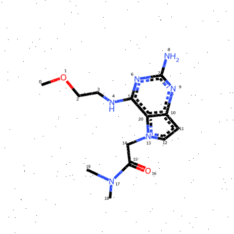 COCCNc1nc(N)nc2ccn(CC(=O)N(C)C)c12